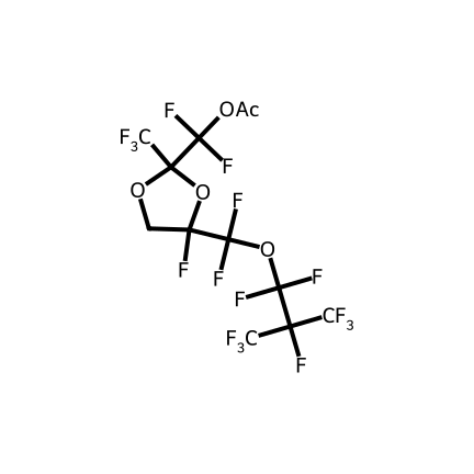 CC(=O)OC(F)(F)C1(C(F)(F)F)OCC(F)(C(F)(F)OC(F)(F)C(F)(C(F)(F)F)C(F)(F)F)O1